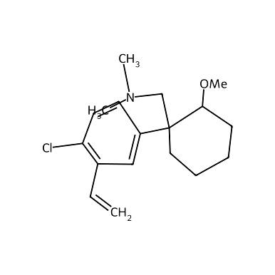 C=Cc1cc(C2(CN(C)C)CCCCC2OC)ccc1Cl